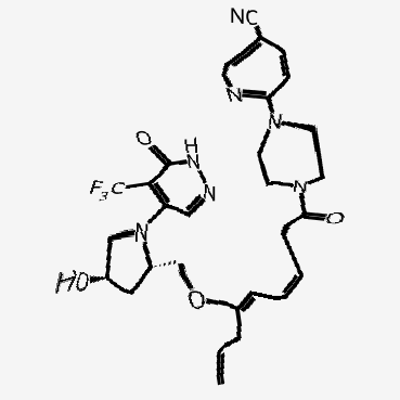 C=CC/C(=C\C=C/CC(=O)N1CCN(c2ccc(C#N)cn2)CC1)OC[C@@H]1C[C@@H](O)CN1c1cn[nH]c(=O)c1C(F)(F)F